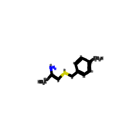 NC(CSCc1ccc(C(=O)O)cc1)C(=O)O